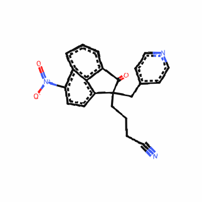 N#CCCCC1(Cc2ccncc2)C(=O)c2cccc3c([N+](=O)[O-])ccc1c23